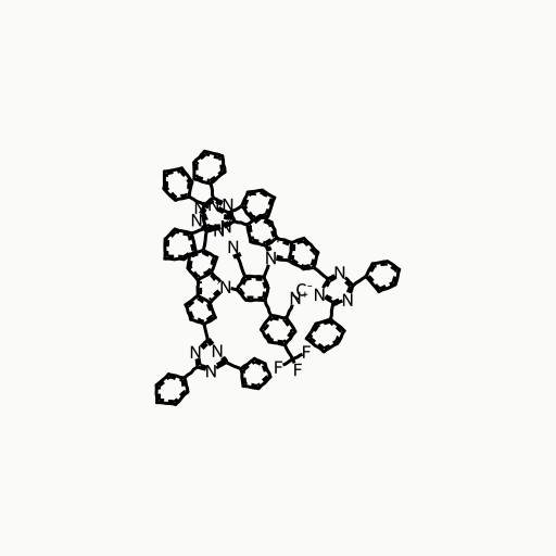 [C-]#[N+]c1cc(C(F)(F)F)ccc1-c1cc(-n2c3cc(-c4nc(-c5ccccc5)nc(-c5ccccc5)n4)ccc3c3ccc(-c4nc(-c5ccccc5)nc(-c5ccccc5)n4)cc32)c(C#N)c(-n2c3cc(-c4nc(-c5ccccc5)nc(-c5ccccc5)n4)ccc3c3ccc(-c4nc(-c5ccccc5)nc(-c5ccccc5)n4)cc32)c1